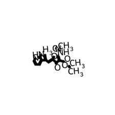 CC(C)OC(=O)C1=C(NN(C)C)OC(=Cc2c[nH]c3ncccc23)C1=O